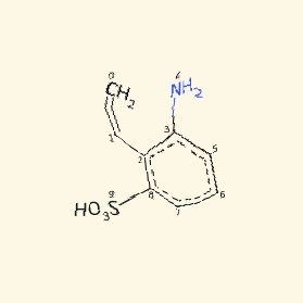 C=Cc1c(N)cccc1S(=O)(=O)O